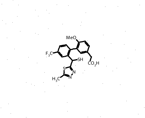 COc1ccc(CC(=O)O)cc1-c1ccc(C(F)(F)F)cc1C(S)c1nnc(C)s1